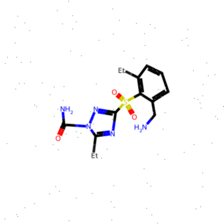 CCc1cccc(CN)c1S(=O)(=O)c1nc(CC)n(C(N)=O)n1